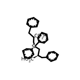 O=C(O)[C@H](Cc1ccccc1)C[Si](C[C@@H](Cc1ccccc1)C(=O)O)(c1ccccc1)c1ccccc1